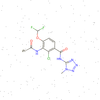 CC(C)C(=O)Nc1c(OC(F)F)ccc(C(=O)Nc2nnnn2C)c1Cl